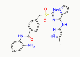 Cc1cc(Nc2nc(S(=O)(=O)Cc3ccc(C(=O)Nc4ccccc4N)cc3)nn3cccc23)n[nH]1